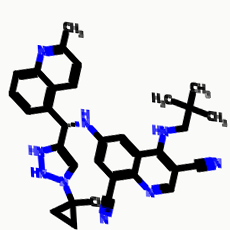 Cc1ccc2c([C@H](Nc3cc(C#N)c4ncc(C#N)c(NCC(C)(C)C)c4c3)C3=CN(C4(C)CC4)NN3)cccc2n1